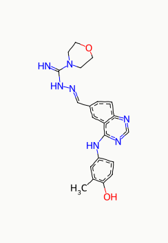 Cc1cc(Nc2ncnc3ccc(/C=N/NC(=N)N4CCOCC4)cc23)ccc1O